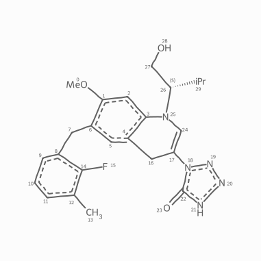 COc1cc2c(cc1Cc1cccc(C)c1F)CC(n1nn[nH]c1=O)=CN2[C@H](CO)C(C)C